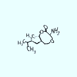 CC(C)CC[C@@H]1CCOC[C@H](N)C(=O)O[C@H]1C